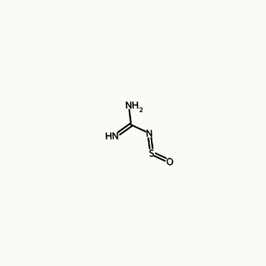 N=C(N)N=S=O